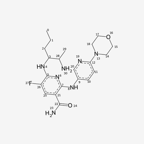 CCCC(Nc1nc(Nc2ccc(N3CCOCC3)nc2)c(C(N)=O)cc1F)C(C)N